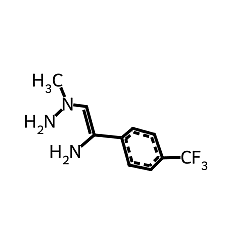 CN(N)/C=C(\N)c1ccc(C(F)(F)F)cc1